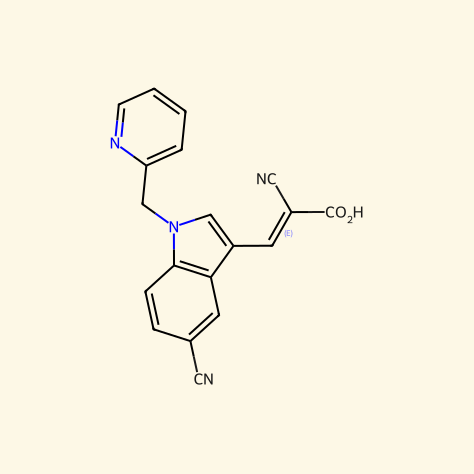 N#C/C(=C\c1cn(Cc2ccccn2)c2ccc(C#N)cc12)C(=O)O